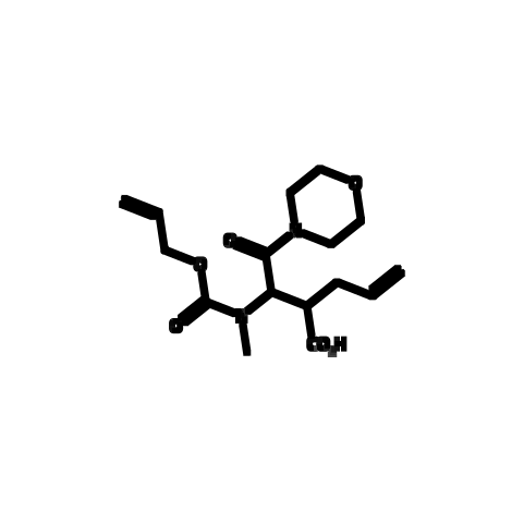 C=CCOC(=O)N(C)C(C(=O)N1CCOCC1)C(CC=C)C(=O)O